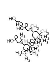 CN(CC(=O)O)C1CC(C)(C)N(C)C(C)(C)C1.CN(CC(=O)O)C1CC(C)(C)N(C)C(C)(C)C1.OCCO